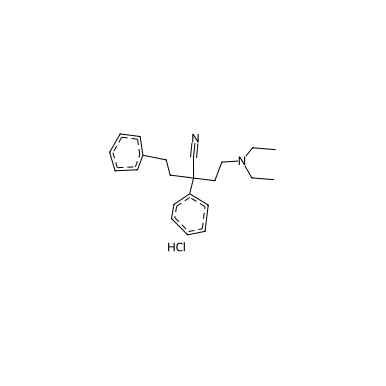 CCN(CC)CCC(C#N)(CCc1ccccc1)c1ccccc1.Cl